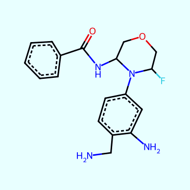 NCc1ccc(N2C(F)COCC2NC(=O)c2ccccc2)cc1N